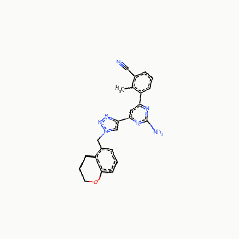 Cc1c(C#N)cccc1-c1cc(-c2cn(Cc3cccc4c3CCCO4)nn2)nc(N)n1